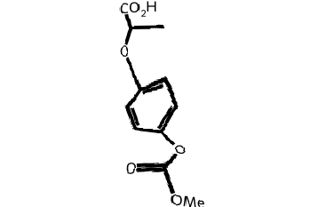 COC(=O)Oc1ccc(OC(C)C(=O)O)cc1